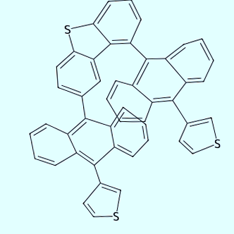 c1cc(-c2c3ccccc3c(-c3ccsc3)c3ccccc23)c2c(c1)sc1ccc(-c3c4ccccc4c(-c4ccsc4)c4ccccc34)cc12